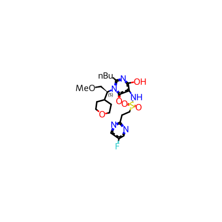 CCCCc1nc(O)c(NS(=O)(=O)CCc2ncc(F)cn2)c(=O)n1[C@H](COC)C1CCOCC1